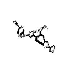 COc1cc(CNC2CCOC2)ccc1-c1cc(Nc2cnc(C#N)cn2)n[nH]1